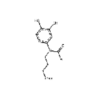 CCCCCCCCCCCCN(C(=O)CC)c1ccc(O)c(O)c1